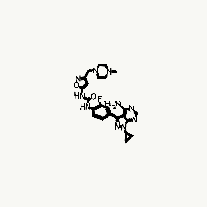 CN1CCN(Cc2cc(NC(=O)Nc3ccc(-c4nn(C5CC5)c5ncnc(N)c45)cc3F)on2)CC1